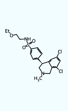 CCOCCNS(=O)(=O)c1ccc([C@@H]2CN(C)Cc3c(Cl)cc(Cl)cc32)cc1